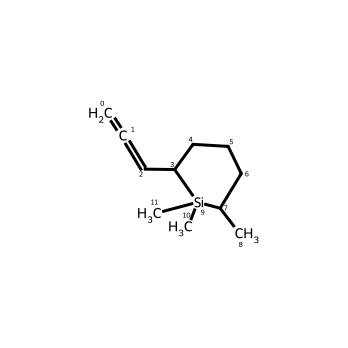 C=C=CC1CCCC(C)[Si]1(C)C